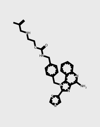 C=C(C)CNCCOC(=O)NCc1ccc(Cn2c(-c3cncs3)nc3c(N)nc4ccccc4c32)cc1